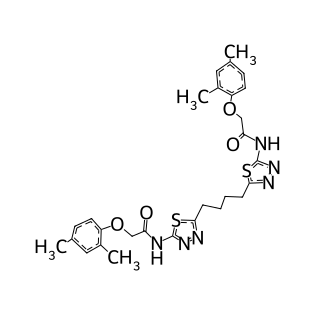 Cc1ccc(OCC(=O)Nc2nnc(CCCCc3nnc(NC(=O)COc4ccc(C)cc4C)s3)s2)c(C)c1